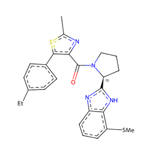 CCc1ccc(-c2sc(C)nc2C(=O)N2CCC[C@H]2c2nc3cccc(SC)c3[nH]2)cc1